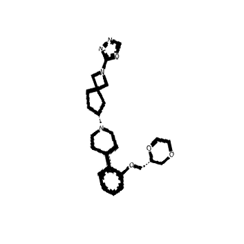 c1ccc(C2CCN([C@@H]3CCC4(C3)CN(c3nnco3)C4)CC2)c(OC[C@H]2COCCO2)c1